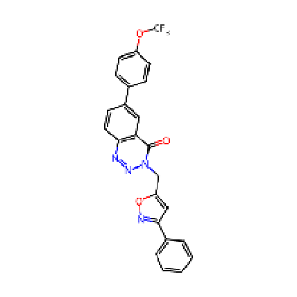 O=c1c2cc(-c3ccc(OC(F)(F)F)cc3)ccc2nnn1Cc1cc(-c2ccccc2)no1